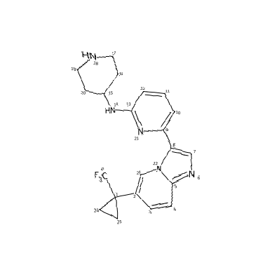 FC(F)(F)C1(c2ccc3ncc(-c4cccc(NC5CCNCC5)n4)n3c2)CC1